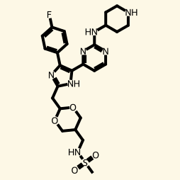 CS(=O)(=O)NCC1COC(Cc2nc(-c3ccc(F)cc3)c(-c3ccnc(NC4CCNCC4)n3)[nH]2)OC1